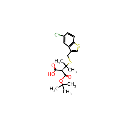 CC(C)(C)OC(=O)[C@@H](C(=O)O)C(C)(C)SCc1csc2ccc(Cl)cc12